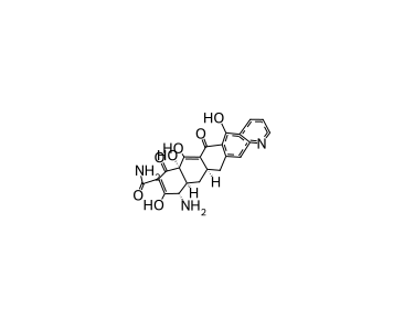 NC(=O)C1=C(O)[C@@H](N)[C@@H]2C[C@@H]3Cc4cc5ncccc5c(O)c4C(=O)C3=C(O)[C@]2(O)C1=O